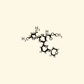 COC(=O)Nc1cc(-c2cccc(N3CCOCC3)n2)nc(-n2nc(C)cc2C)n1